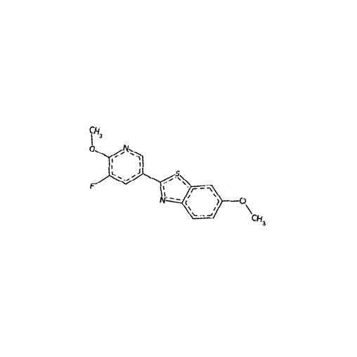 COc1ccc2nc(-c3cnc(OC)c(F)c3)sc2c1